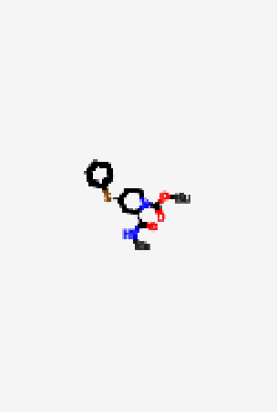 CC(C)(C)NC(=O)[C@@H]1C[C@H](Sc2ccccc2)CCN1C(=O)OC(C)(C)C